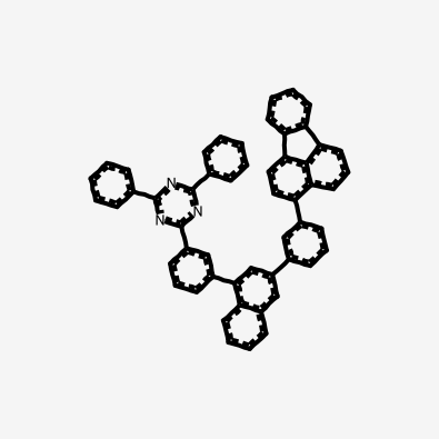 c1ccc(-c2nc(-c3ccccc3)nc(-c3cccc(-c4cc(-c5cccc(-c6ccc7c8c(cccc68)-c6ccccc6-7)c5)cc5ccccc45)c3)n2)cc1